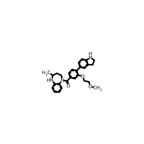 COCCOc1cc(C(=O)N2CCC(C)Nc3ccccc32)ccc1-c1ccc2c(c1)CCN2